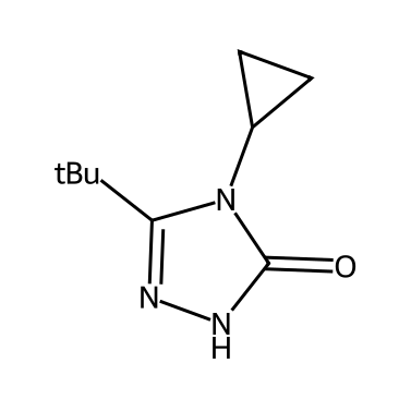 CC(C)(C)c1n[nH]c(=O)n1C1CC1